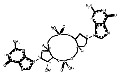 Nc1nc2c(ncn2[C@@H]2O[C@@H]3COP(=O)(O)OC4C[C@H](n5cnc6c(=O)[nH]c(N)nc65)O[C@@H]4COP(=O)(O)OC3[C@@H]2O)c(=O)[nH]1